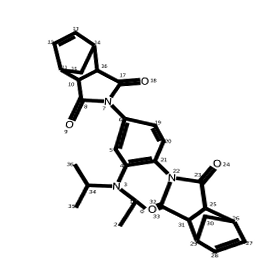 CC(C)N(c1cc(N2C(=O)C3C4C=CC(C4)C3C2=O)ccc1N1C(=O)C2C3C=CC(C3)C2C1=O)C(C)C